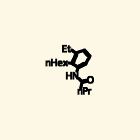 CCCCCCc1c(CC)cccc1NC(=O)CCC